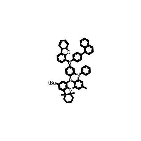 Cc1cc2c3c(c1)N1c4c(cc(C(C)(C)C)cc4C4(C)CCCCC14C)B3c1ccc(N(c3ccc(-c4cccc5ccccc45)cc3)c3cccc4c3OC3C=CC=CC43)cc1N2c1ccccc1